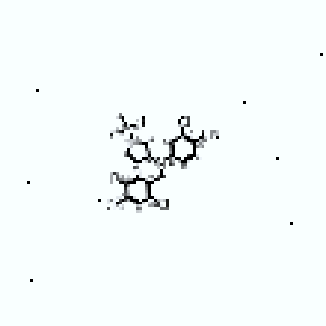 CS(=O)(=O)N1CC[C@H](N(Cc2cc(F)c(Cl)cc2Cl)c2ccc(C#N)c(Cl)c2)C1